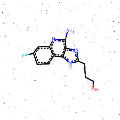 Nc1nc2cc(F)ccc2c2[nH]c(CCCO)nc12